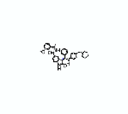 COc1cccc([C@@H](C)NC(=O)c2ccc3c(c2)/C(=C(/Nc2ccc(CN4CCCCC4)cc2)c2ccccc2)C(=O)N3)c1